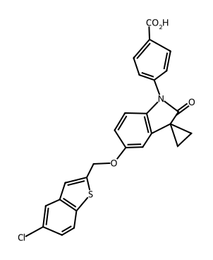 O=C(O)c1ccc(N2C(=O)C3(CC3)c3cc(OCc4cc5cc(Cl)ccc5s4)ccc32)cc1